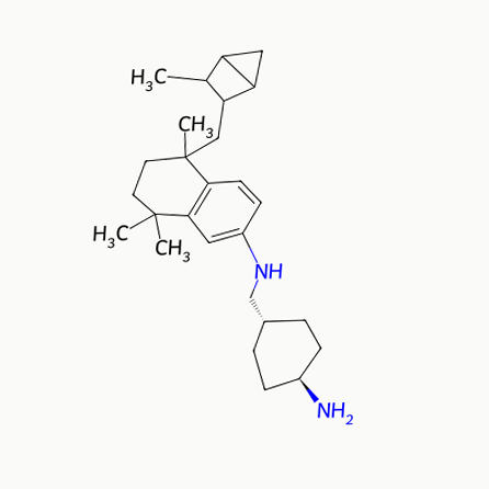 CC1C2CC2C1CC1(C)CCC(C)(C)c2cc(NC[C@H]3CC[C@H](N)CC3)ccc21